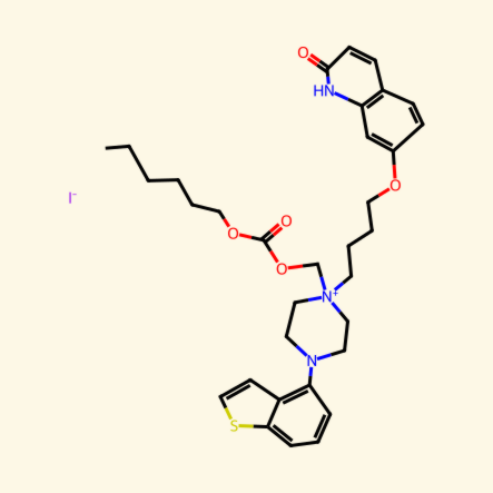 CCCCCCOC(=O)OC[N+]1(CCCCOc2ccc3ccc(=O)[nH]c3c2)CCN(c2cccc3sccc23)CC1.[I-]